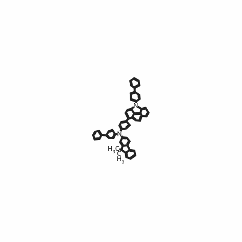 CC1(C)c2ccccc2-c2ccc(N(c3ccc(-c4ccccc4)cc3)c3ccc(-c4ccc5c6c4ccc4cccc(c46)n5-c4ccc(-c5ccccc5)cc4)cc3)cc21